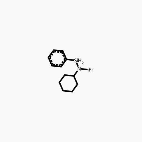 CC(C)N([SiH2]c1ccccc1)C1CCCCC1